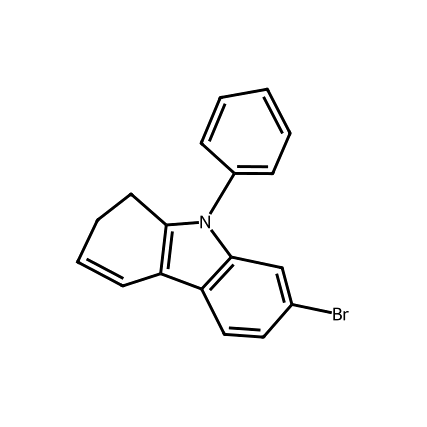 Brc1ccc2c3c(n(-c4ccccc4)c2c1)CCC=C3